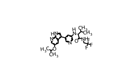 CC(C)Oc1cnc2[nH]cc(-c3cncc(N[C@@H](C(=O)NCC(F)(F)F)C(C)C)c3)c2c1